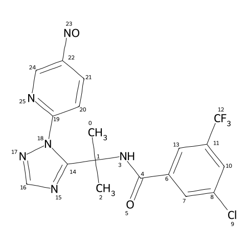 CC(C)(NC(=O)c1cc(Cl)cc(C(F)(F)F)c1)c1ncnn1-c1ccc(N=O)cn1